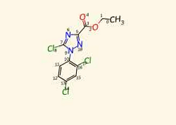 CCOC(=O)c1nc(Cl)n(-c2ccc(Cl)cc2Cl)n1